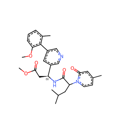 COC(=O)C[C@H](NC(=O)C(CC(C)C)n1ccc(C)cc1=O)c1cncc(-c2c(C)cccc2OC)c1